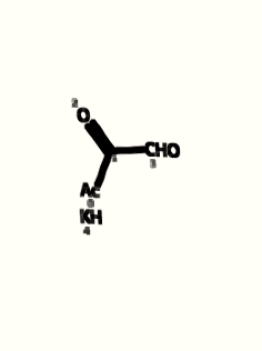 CC(=O)C(=O)C=O.[KH]